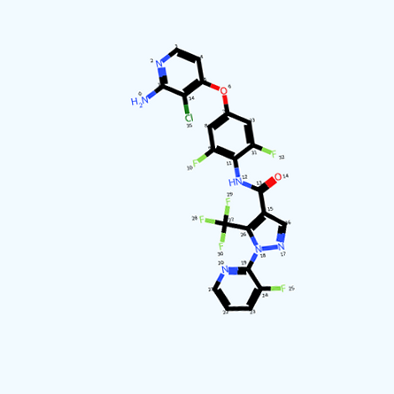 Nc1nccc(Oc2cc(F)c(NC(=O)c3cnn(-c4ncccc4F)c3C(F)(F)F)c(F)c2)c1Cl